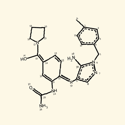 Cc1ccc(Cn2ncc(N=C3C=CC(=C(O)N4CCCC4)C=C3NC(N)=O)c2N)cc1